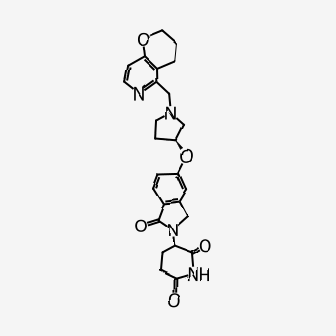 O=C1CCC(N2Cc3cc(O[C@H]4CCN(Cc5nccc6c5CCCO6)C4)ccc3C2=O)C(=O)N1